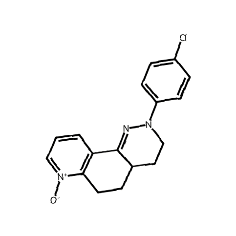 [O-][n+]1cccc2c1CCC1CCN(c3ccc(Cl)cc3)N=C21